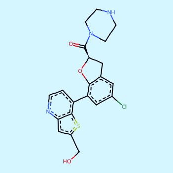 O=C([C@H]1Cc2cc(Cl)cc(-c3ccnc4cc(CO)sc34)c2O1)N1CCNCC1